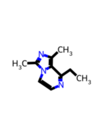 CCc1nccn2c(C)nc(C)c12